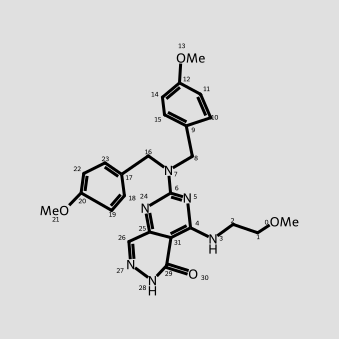 COCCNc1nc(N(Cc2ccc(OC)cc2)Cc2ccc(OC)cc2)nc2cn[nH]c(=O)c12